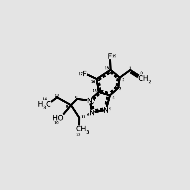 C=Cc1cc2nnn(CC(O)(CC)CC)c2c(F)c1F